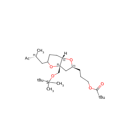 CC(=O)[C@H](C)CC1CC[C@@H]2O[C@@H](CCCOC(=O)C(C)(C)C)C[C@]2(CO[Si](C)(C)C(C)(C)C)O1